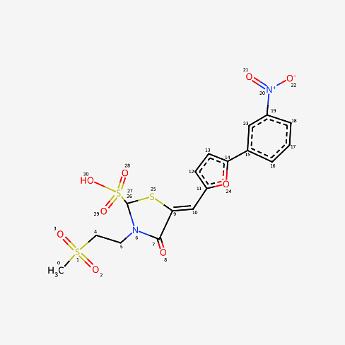 CS(=O)(=O)CCN1C(=O)C(=Cc2ccc(-c3cccc([N+](=O)[O-])c3)o2)SC1S(=O)(=O)O